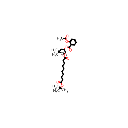 CC(=O)Oc1ccccc1C(=O)OC(COC(=O)CCCCCCCCC(=O)OC(C)(C)C)CC(C)(C)C